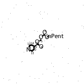 CCCCCOC(=O)OCOC(=O)c1ccncc1